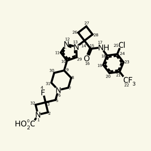 O=C(O)N1CC(F)(CN2CCC(c3cnn(C4(C(=O)Nc5ccc(C(F)(F)F)cc5Cl)CCC4)c3)CC2)C1